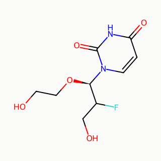 O=c1ccn([C@H](OCCO)C(F)CO)c(=O)[nH]1